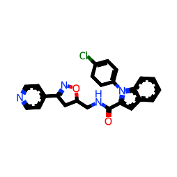 O=C(NCC1CC(c2ccncc2)=NO1)c1cc2ccccc2n1C1=CC=C(Cl)CC1